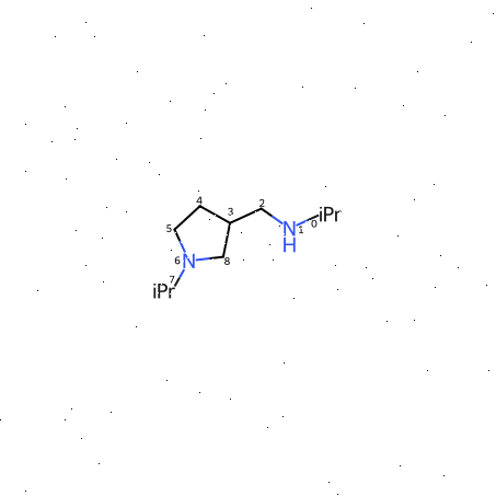 CC(C)NCC1CCN(C(C)C)C1